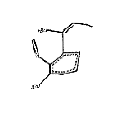 C=Nc1c(/C(=C\C)C(C)(C)C)cccc1C(C)(C)C